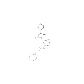 C=C1C(c2cccnc2)=CNN1c1cc(NCCCN2CCCCCC2)ncn1